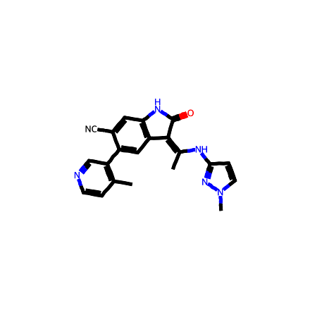 C/C(Nc1ccn(C)n1)=C1/C(=O)Nc2cc(C#N)c(-c3cnccc3C)cc21